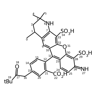 CC1CC(C)(C)Nc2c1cc1c(-c3ccc(CC(=O)C(C)(C)C)cc3C(=O)O)c3ccc(=N)c(S(=O)(=O)O)c-3oc1c2S(=O)(=O)O